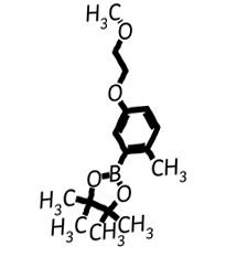 COCCOc1ccc(C)c(B2OC(C)(C)C(C)(C)O2)c1